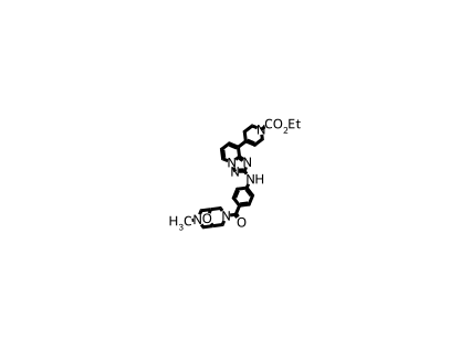 CCOC(=O)N1CC=C(c2cccn3nc(Nc4ccc(C(=O)N5CC6CN(C)CC(C5)O6)cc4)nc23)CC1